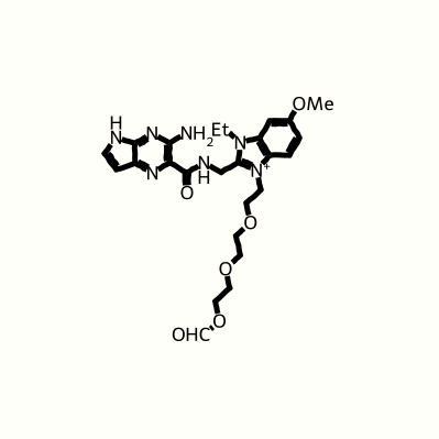 CCn1c(CNC(=O)c2nc3cc[nH]c3nc2N)[n+](CCOCCOCCOC=O)c2ccc(OC)cc21